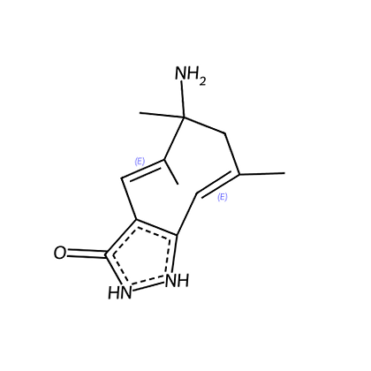 C/C1=C\c2[nH][nH]c(=O)c2/C=C(\C)C(C)(N)C1